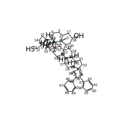 C[C@]12C(CC[C@@H]3[C@H]1CC[C@]1(C)C(CS)CC[C@@H]31)CC(O)CC2C12CC[C@@H]3[C@@H](CC[C@@]4(C)[C@H]3CCC4(SCc3ccccc3)SCc3ccccc3)[C@@]1(C)CCC(O)C2